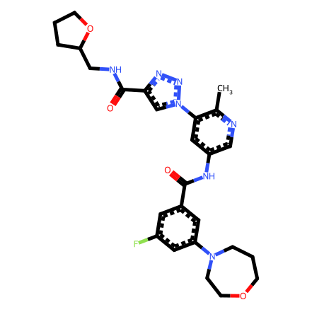 Cc1ncc(NC(=O)c2cc(F)cc(N3CCCOCC3)c2)cc1-n1cc(C(=O)NCC2CCCO2)nn1